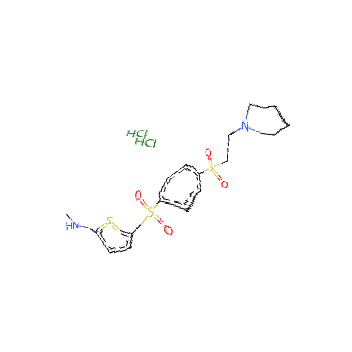 CNc1ccc(S(=O)(=O)c2ccc(S(=O)(=O)CCN3CCCC3)cc2)s1.Cl.Cl